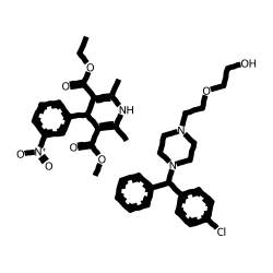 CCOC(=O)C1=C(C)NC(C)=C(C(=O)OC)C1c1cccc([N+](=O)[O-])c1.OCCOCCN1CCN(C(c2ccccc2)c2ccc(Cl)cc2)CC1